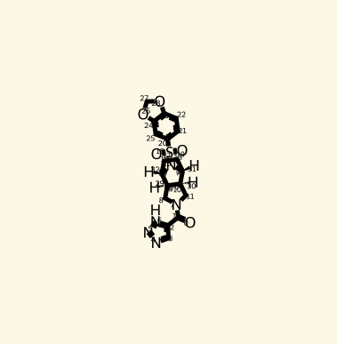 O=C(c1cnn[nH]1)N1C[C@@H]2[C@H](C1)[C@H]1CC[C@@H]2N1S(=O)(=O)c1ccc2c(c1)OCO2